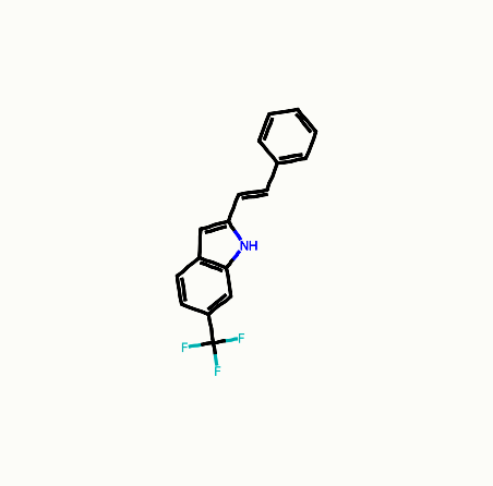 FC(F)(F)c1ccc2cc(C=Cc3ccccc3)[nH]c2c1